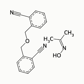 CC(C)=NO.N#Cc1ccccc1COCc1ccccc1C#N